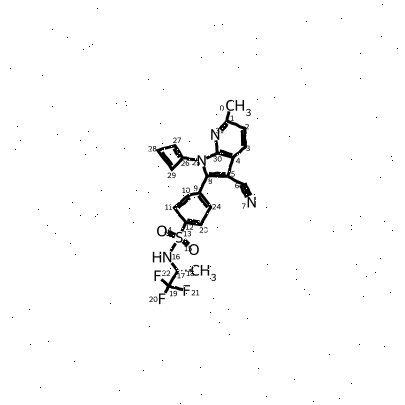 Cc1ccc2c(C#N)c(-c3ccc(S(=O)(=O)N[C@H](C)C(F)(F)F)cc3)n(C3=CC=C3)c2n1